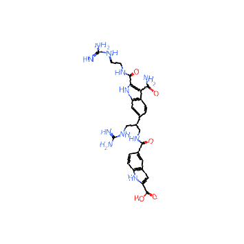 N=C(N)NCCNC(=O)c1[nH]c2cc(C(CNC(=N)N)CNC(=O)c3ccc4[nH]c(C(=O)O)cc4c3)ccc2c1C(N)=O